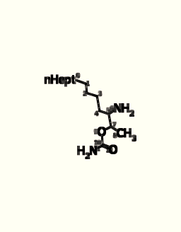 CCCCCCCCCCCC(N)C(C)OC(N)=O